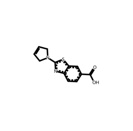 O=C(O)c1ccc2nc(N3CC=CC3)sc2c1